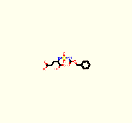 O=C(O)CCC(NS(=O)(=O)NC(=O)OCc1ccccc1)C(=O)O